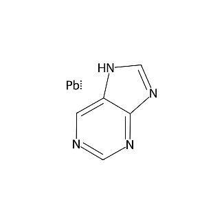 [Pb].c1ncc2[nH]cnc2n1